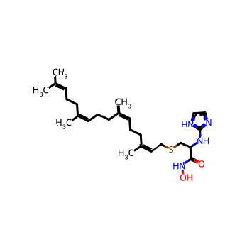 CC(C)=CCCC(C)=CCCC(C)=CCCC(C)=CCSCC(Nc1ncc[nH]1)C(=O)NO